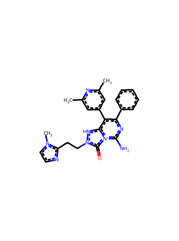 Cc1cc(-c2c(-c3ccccc3)nc(N)[n+]3c(=O)n(CCc4nccn4C)[nH]c23)cc(C)n1